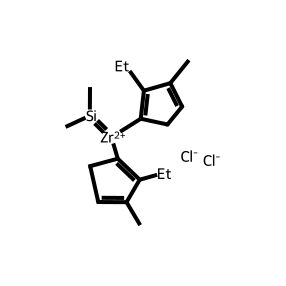 CCC1=[C]([Zr+2]([C]2=C(CC)C(C)=CC2)=[Si](C)C)CC=C1C.[Cl-].[Cl-]